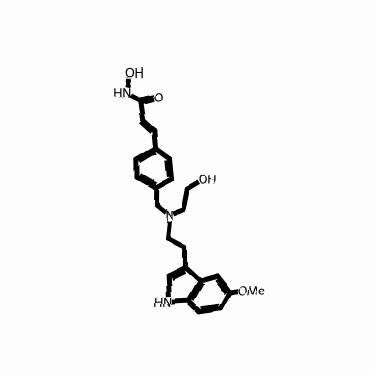 COc1ccc2[nH]cc(CCN(CCO)Cc3ccc(/C=C/C(=O)NO)cc3)c2c1